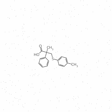 Cc1ccc(SCC(C)(C(=O)O)c2ccccc2)cc1